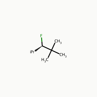 CC(C)[C@@H](F)C(C)(C)C